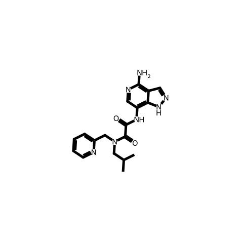 CC(C)CN(Cc1ccccn1)C(=O)C(=O)Nc1cnc(N)c2cn[nH]c12